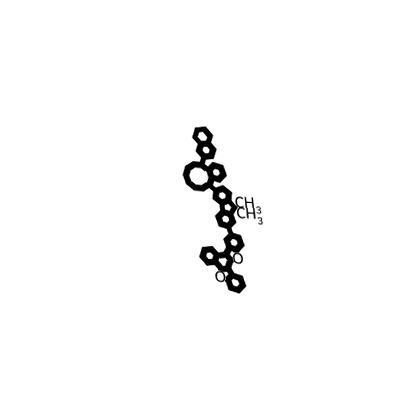 CC1(C)c2ccc(-c3ccccccc(-c4ccc5c(c4)CCC=C5)c4ccccc34)cc2-c2ccc(-c3ccc4oc5c(c4c3)c3ccccc3c3oc4ccccc4c35)cc21